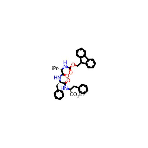 CCOC(=O)[C@H](Cc1ccccc1)NC(=O)[C@H](Cc1ccccc1)NC(=O)[C@@H](NC(=O)OCC1c2ccccc2-c2ccccc21)C(C)C